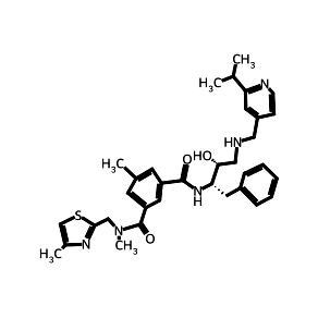 Cc1cc(C(=O)N[C@@H](Cc2ccccc2)[C@H](O)CNCc2ccnc(C(C)C)c2)cc(C(=O)N(C)Cc2nc(C)cs2)c1